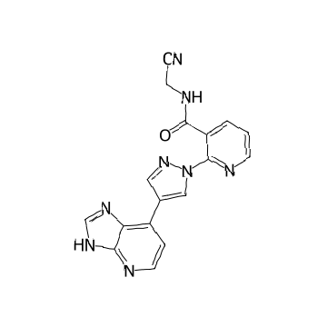 N#CCNC(=O)c1cccnc1-n1cc(-c2ccnc3[nH]cnc23)cn1